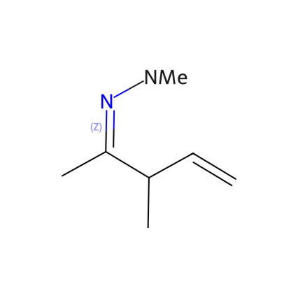 C=CC(C)/C(C)=N\NC